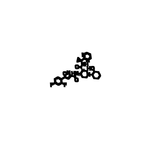 O=C(N[C@@H]1CCN(C2CCCCC2O)C[C@H]1C(=O)NC1(c2ncccn2)CC1)c1cc(-c2ccc(F)cc2F)on1